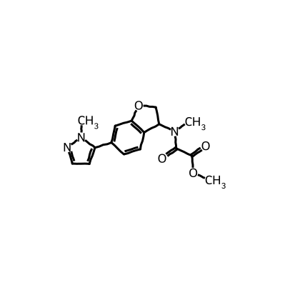 COC(=O)C(=O)N(C)C1COc2cc(-c3ccnn3C)ccc21